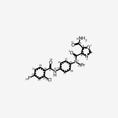 CC(C)N(C(=O)c1ncoc1C(N)=O)c1ccc(NC(=O)c2ccc(F)cc2Cl)cc1